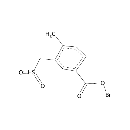 Cc1ccc(C(=O)OBr)cc1C[SH](=O)=O